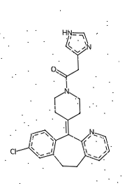 O=C(Cc1c[nH]cn1)N1CCC(=C2c3ccc(Cl)cc3CCc3cccnc32)CC1